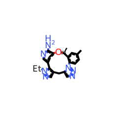 CCn1ncc2c1-c1cnc(N)c(c1)O[C@@H](C)c1cc(C)ccc1-n1nncc1C2